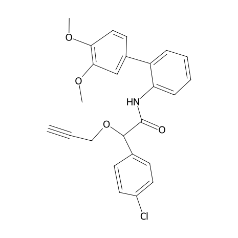 C#CCOC(C(=O)Nc1ccccc1-c1ccc(OC)c(OC)c1)c1ccc(Cl)cc1